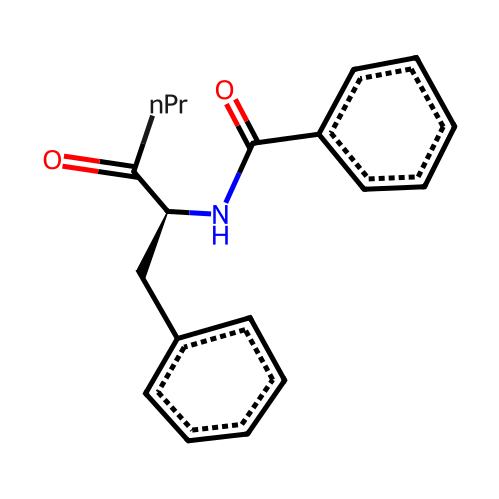 CCCC(=O)[C@H](Cc1ccccc1)NC(=O)c1ccccc1